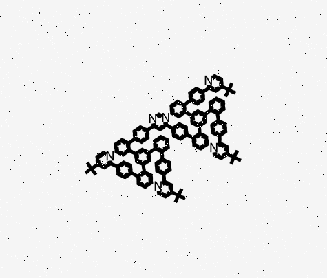 CC(C)(C)c1ccnc(-c2ccc(-c3ccccc3-c3cc(-c4ccccc4-c4ccc(-c5cc(C(C)(C)C)ccn5)cc4)cc(-c4ccccc4-c4ccc(-c5cc(-c6ccc(-c7ccccc7-c7cc(-c8ccccc8-c8ccc(-c9cc(C(C)(C)C)ccn9)cc8)cc(-c8ccccc8-c8ccc(-c9cc(C(C)(C)C)ccn9)cc8)c7)cc6)ncn5)cc4)c3)cc2)c1